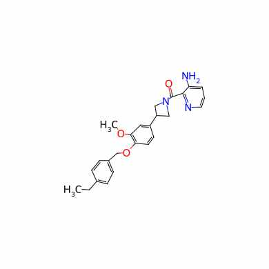 CCc1ccc(COc2ccc(C3CN(C(=O)c4ncccc4N)C3)cc2OC)cc1